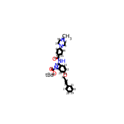 CN1CCN(c2ccc(C(=O)Nc3nn(C(=O)OC(C)(C)C)c4cc(OCC#Cc5ccccc5)ccc34)cc2)CC1